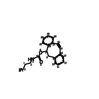 CC(C)CCNC(=O)OC1Cc2ccccc2C#Cc2ccccc21